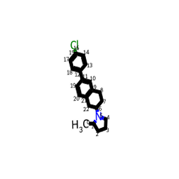 CC1CCCN1C1CCc2cc(-c3ccc(Cl)cc3)ccc2C1